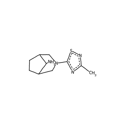 Cc1nsc(N2CC3CCC(C2)C3N)n1